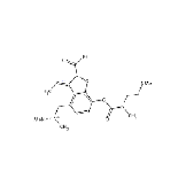 C/C=C1\c2c(C[C@H](C)NC)ccc(OC(=O)N(C)CCNC)c2OC1C(=O)CC